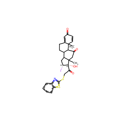 CC12C=CC(=O)C=C1CCC1C2C(=O)CC2(C)C1C[C@@H](I)[C@]2(O)C(=O)CSc1nc2ccccc2s1